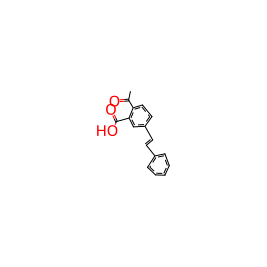 CC(=O)c1ccc(C=Cc2ccccc2)cc1C(=O)O